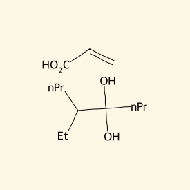 C=CC(=O)O.CCCC(CC)C(O)(O)CCC